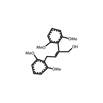 COc1cccc(OC)c1CC=C(CO)c1c(OC)cccc1OC